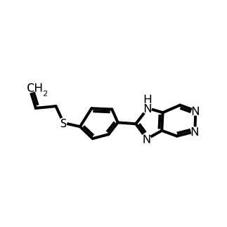 C=CCSc1ccc(-c2nc3cnncc3[nH]2)cc1